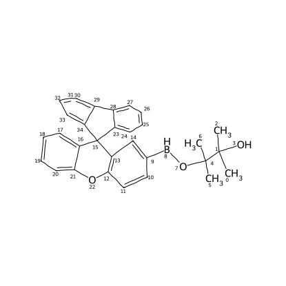 CC(C)(O)C(C)(C)OBc1ccc2c(c1)C1(c3ccccc3O2)c2ccccc2-c2ccccc21